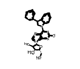 OC[C@H]1O[C@@H](n2cnc3c(N4CC(c5ccccc5)c5ccccc54)nc(Cl)nc32)C(O)[C@H]1O